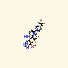 C=C1NC(c2cc(OC)c3ncnn3c2)=C(C(C)C)/C1=N/C(=C\C)N1CCN(CC(C)(C)C)CC1